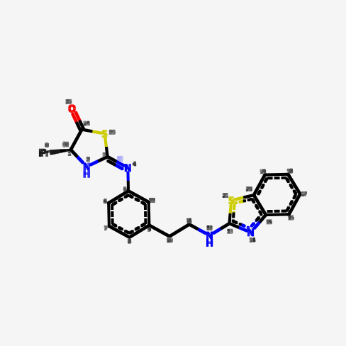 CC(C)[C@@H]1N/C(=N\c2cccc(CCNc3nc4ccccc4s3)c2)SC1=O